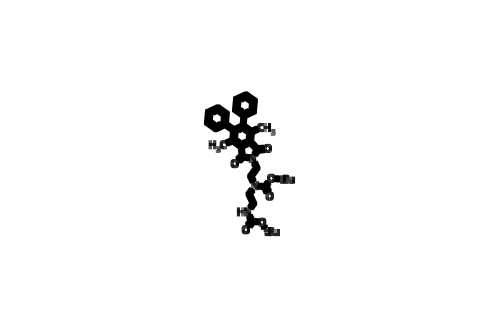 Cc1c2c(c(C)c(-c3ccccc3)c1-c1ccccc1)C(=O)N(CCN(CCNC(=O)OC(C)(C)C)C(=O)OC(C)(C)C)C2=O